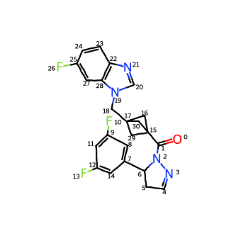 O=C(N1N=CCC1c1cc(F)cc(F)c1)C12CC(Cn3cnc4ccc(F)cc43)(C1)C2